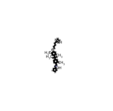 CCC(CC)(c1ccc(/C=C/C2(O)CCCC2)c(C)c1)c1ccc(OCCCCc2nnn[nH]2)c(C)c1